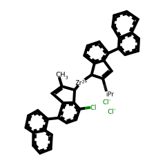 CC1=Cc2c(-c3cccc4ccccc34)ccc(Cl)c2[CH]1[Zr+2][CH]1C(C(C)C)=Cc2c(-c3cccc4ccccc34)cccc21.[Cl-].[Cl-]